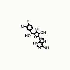 N=c1nc[nH]c2c1ncn2[C@@H]1O[C@H]([C@H](O)c2ccc(F)c(Cl)c2)[C@@H](O)[C@H]1O